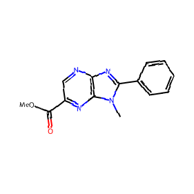 COC(=O)c1cnc2nc(-c3ccccc3)n(C)c2n1